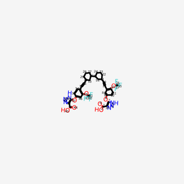 O=C(O)c1nn[nH]c1Oc1ccc(OC(F)(F)F)c(C#CC2CCCC(C3CCCC(C#Cc4ccc(Oc5[nH]nnc5C(=O)O)cc4OC(F)(F)F)C3)C2)c1